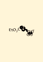 CCOC(=O)c1ccn2c1CCC(CCOC(=O)C(=O)Cl)C2